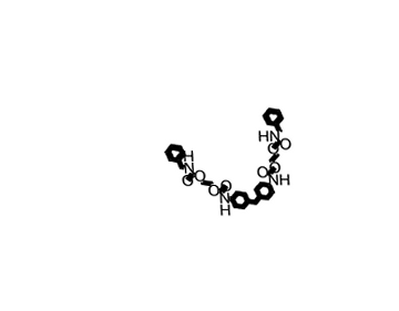 O=C(NCc1ccccc1)OCCOC(=O)NC1CCC(CC2CCC(NC(=O)OCCOC(=O)NCc3ccccc3)CC2)CC1